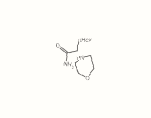 C1COCCN1.CCCCCCCC(N)=O